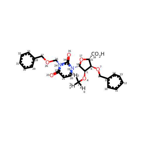 [2H]C([2H])([2H])O[C@@H]1[C@H](OCc2ccccc2)[C@@H](C(=O)O)O[C@H]1n1ccc(=O)n(COCc2ccccc2)c1=O